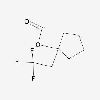 O=[C]OC1(CC(F)(F)F)CCCC1